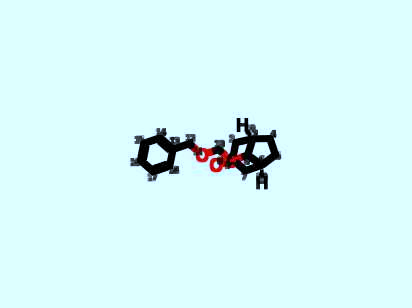 O=C1C[C@H]2CC[C@@H](C1)C2OCOCc1ccccc1